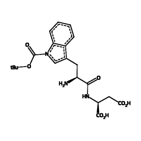 CC(C)(C)OC(=O)n1cc(C[C@H](N)C(=O)N[C@@H](CC(=O)O)C(=O)O)c2ccccc21